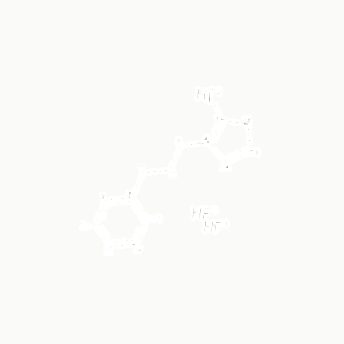 F.F.[Hf][C]1=C(CCCc2ccccc2)C=CC1